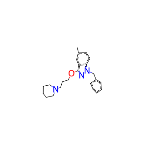 Cc1ccc2c(c1)c(OCCCN1CCCCC1)nn2Cc1ccccc1